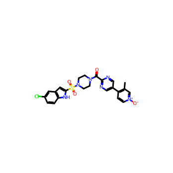 Cc1c[n+]([O-])ccc1-c1cnc(C(=O)N2CCN(S(=O)(=O)c3cc4cc(Cl)ccc4[nH]3)CC2)nc1